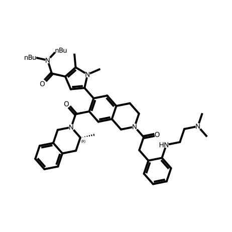 CCCCN(CCCC)C(=O)c1cc(-c2cc3c(cc2C(=O)N2Cc4ccccc4C[C@H]2C)CN(C(=O)Cc2ccccc2NCCN(C)C)CC3)n(C)c1C